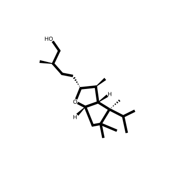 CC(C)[C@]1(C)[C@H]2[C@H](C)[C@@H](CC[C@@H](C)CO)O[C@H]2CC1(C)C